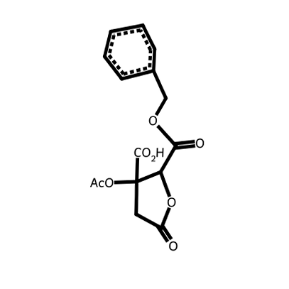 CC(=O)OC1(C(=O)O)CC(=O)OC1C(=O)OCc1ccccc1